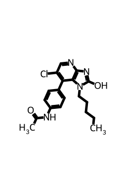 CCCCCn1c(O)nc2ncc(Cl)c(-c3ccc(NC(C)=O)cc3)c21